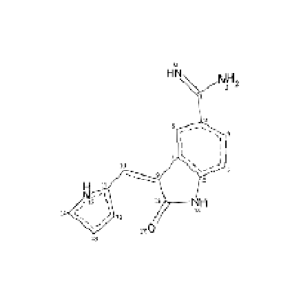 N=C(N)c1ccc2c(c1)C(=Cc1ccc[nH]1)C(=O)N2